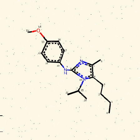 CCCCc1c(C)nc(Nc2ccc(OC)cc2)n1C(C)C